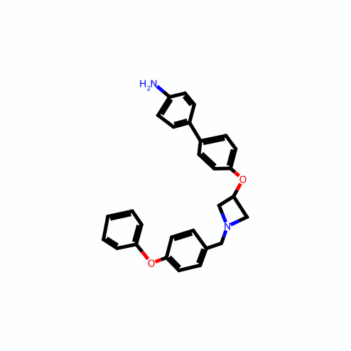 Nc1ccc(-c2ccc(OC3CN(Cc4ccc(Oc5ccccc5)cc4)C3)cc2)cc1